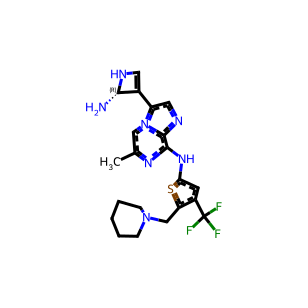 Cc1cn2c(C3=CN[C@H]3N)cnc2c(Nc2cc(C(F)(F)F)c(CN3CCCCC3)s2)n1